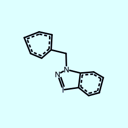 c1ccc(CN2N=Ic3ccccc32)cc1